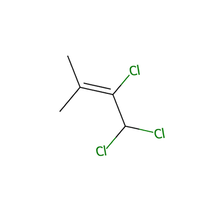 CC(C)=C(Cl)C(Cl)Cl